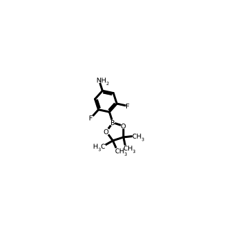 CC1(C)OB(c2c(F)cc(N)cc2F)OC1(C)C